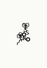 CCCCC1(C)CN(c2ccccc2)c2cc(SC)c(CSC(C)(C)C(=O)OC)cc2S(=O)(=O)C1